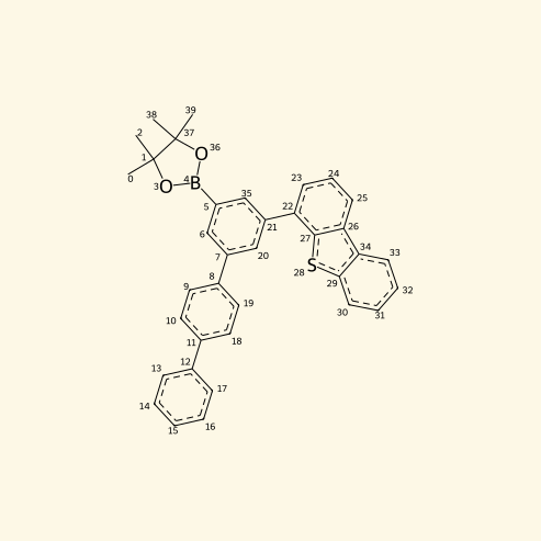 CC1(C)OB(c2cc(-c3ccc(-c4ccccc4)cc3)cc(-c3cccc4c3sc3ccccc34)c2)OC1(C)C